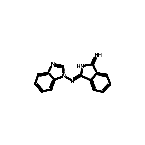 N=C1NC(=Nn2cnc3ccccc32)c2ccccc21